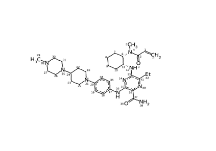 C=CC(=O)N(C)[C@H]1CCCC[C@H]1Nc1nc(Nc2ccc(N3CCC(N4CCN(C)CC4)CC3)cc2)c(C(N)=O)nc1CC